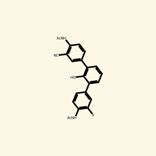 CC(=O)Nc1ccc(-c2cccc(-c3ccc(NC(C)=O)c(C#N)c3)c2O)cc1F